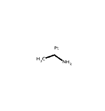 CCN.[Pt]